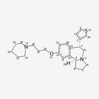 c1cc([C@@H]2CN3CCC[C@H]3c3cc(OCCCN4CCCCC4)ccc32)cs1